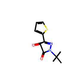 CC(C)(C)N1N=C(c2cccs2)C(=O)C1=O